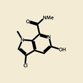 CNC(=O)c1nc(O)cc2c(Cl)cn(C)c12